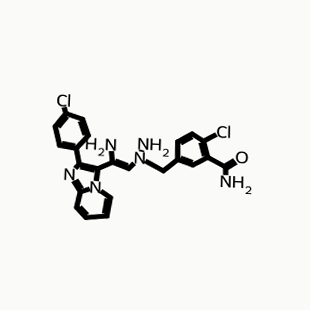 NC(=O)c1cc(CN(N)/C=C(\N)c2c(-c3ccc(Cl)cc3)nc3ccccn23)ccc1Cl